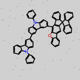 c1ccc(-n2c3ccccc3c3cc(-c4ccc5c(c4)c4cc(-c6c7c(cc8c6oc6ccccc68)C6(c8ccccc8-c8ccccc86)c6ccccc6-7)ccc4n5-c4ccccc4)ccc32)cc1